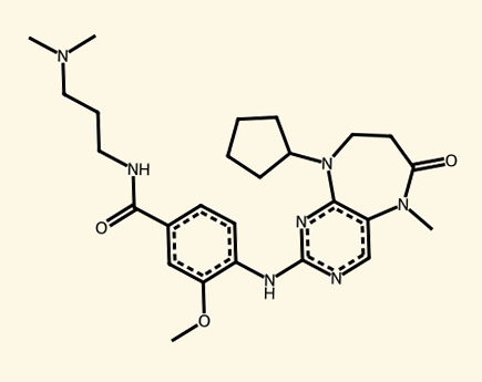 COc1cc(C(=O)NCCCN(C)C)ccc1Nc1ncc2c(n1)N(C1CCCC1)CCC(=O)N2C